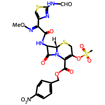 CON=C(C(=O)NC1C(=O)N2C(C(=O)OCc3ccc([N+](=O)[O-])cc3)=C(OS(C)(=O)=O)CS[C@@H]12)c1csc(NC=O)n1